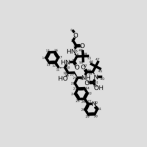 COCC(=O)N[C@H](C(=O)N[C@@H](Cc1ccccc1)[C@@H](O)C[C@H](Cc1ccc(-c2ccccn2)cc1)NC(=O)[C@@H](N(C)C(=O)O)C(C)(C)C)C(C)(C)C